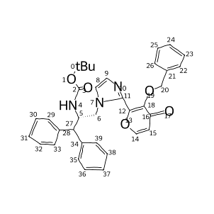 CC(C)(C)OC(=O)N[C@H](Cn1ccnc1-c1occc(=O)c1OCc1ccccc1)C(c1ccccc1)c1ccccc1